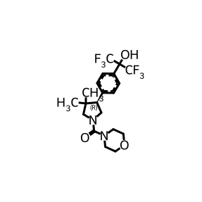 CC1(C)CN(C(=O)N2CCOCC2)C[C@@H]1c1ccc(C(O)(C(F)(F)F)C(F)(F)F)cc1